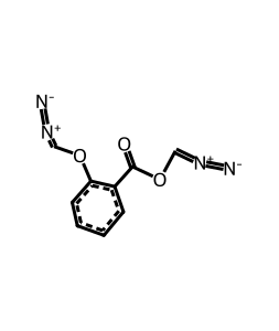 [N-]=[N+]=COC(=O)c1ccccc1OC=[N+]=[N-]